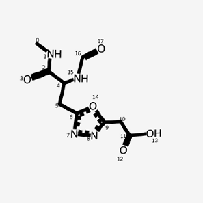 CNC(=O)C(Cc1nnc(CC(=O)O)o1)NC=O